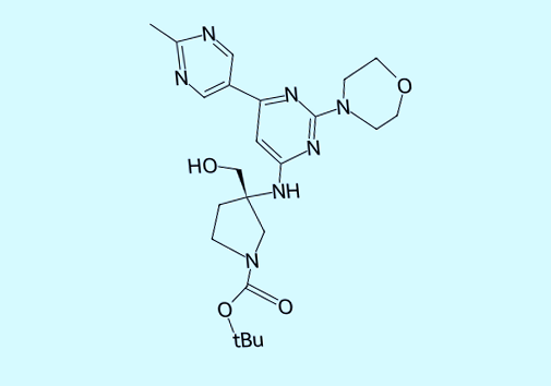 Cc1ncc(-c2cc(N[C@@]3(CO)CCN(C(=O)OC(C)(C)C)C3)nc(N3CCOCC3)n2)cn1